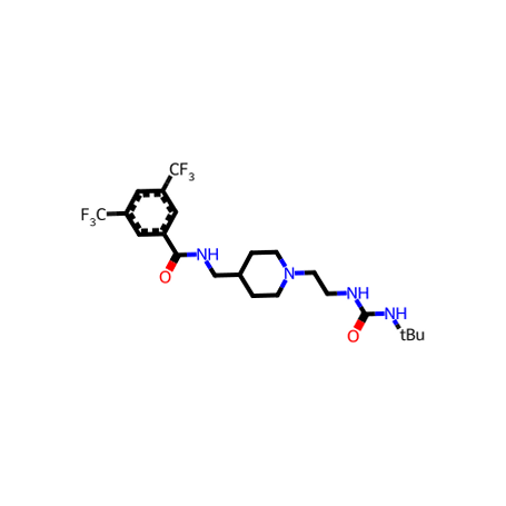 CC(C)(C)NC(=O)NCCN1CCC(CNC(=O)c2cc(C(F)(F)F)cc(C(F)(F)F)c2)CC1